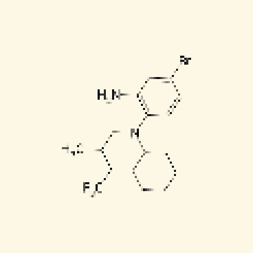 CC(CN(c1ccc(Br)cc1N)C1CCCCC1)CC(F)(F)F